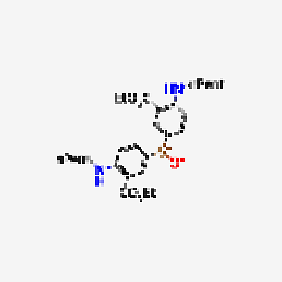 CCCCCNc1ccc([S+]([O-])c2ccc(NCCCCC)c(C(=O)OCC)c2)cc1C(=O)OCC